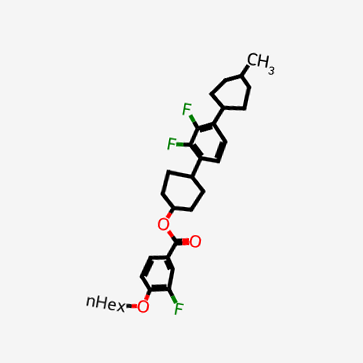 CCCCCCOc1ccc(C(=O)OC2CCC(c3ccc(C4CCC(C)CC4)c(F)c3F)CC2)cc1F